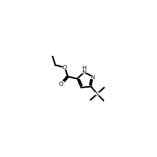 CCOC(=O)c1cc(S(C)(C)C)n[nH]1